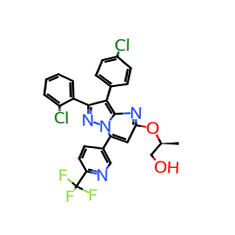 C[C@@H](CO)Oc1cc(-c2ccc(C(F)(F)F)nc2)n2nc(-c3ccccc3Cl)c(-c3ccc(Cl)cc3)c2n1